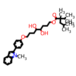 CC(C)CC(C)(C(=O)OCCCC(O)C(O)CCCOc1ccc(-c2cc3ccccc3n2C)cc1)C(C)C